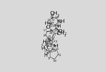 CC1=C2C[C@H]3[C@@H](CC[C@@H]4CCCC[C@@]43C)[C@@H]2CC[C@]12O[C@@H]1C[C@H](C)CN[C@H]1[C@H]2C